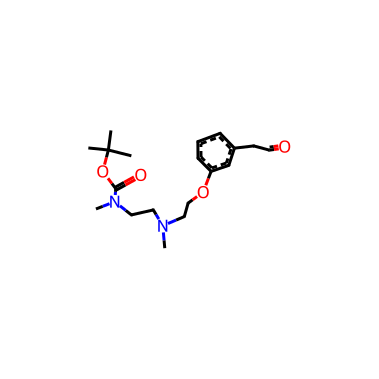 CN(CCOc1cccc(CC=O)c1)CCN(C)C(=O)OC(C)(C)C